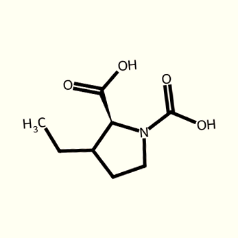 CCC1CCN(C(=O)O)[C@@H]1C(=O)O